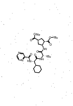 COC(=O)N1C[C@H](NC(=O)[C@@H](NC(=O)[C@@H](NC(=O)c2cnccn2)C2CCCCC2)C(C)(C)C)[C@H](C(=O)OC(C)(C)C)C1